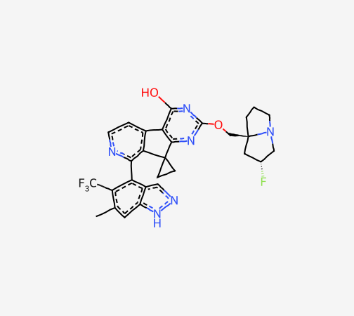 Cc1cc2[nH]ncc2c(-c2nccc3c2C2(CC2)c2nc(OC[C@@]45CCCN4C[C@H](F)C5)nc(O)c2-3)c1C(F)(F)F